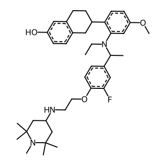 CCN(c1cc(OC)ccc1C1CCc2cc(O)ccc2C1)C(C)c1ccc(OCCNC2CC(C)(C)N(C)C(C)(C)C2)c(F)c1